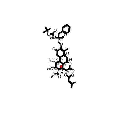 COC(=O)[C@@]12OC[C@]34C([C@@H](O)[C@@H]1O)[C@@]1(C)CC(=O)C(OC[C@@](C=O)(Cc5ccccc5)NC(=O)OC(C)(C)C)=C(C)[C@@H]1C[C@H]3OC(=O)[C@H](OC(=O)C=C(C)C)[C@@H]24